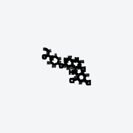 C=CC(=O)N1CCC(Oc2cc3c(Nc4c(Cl)cc(Cl)cc4Cl)ncnc3cn2)CC1